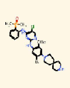 CCc1cc(Nc2ncc(Cl)c(Nc3ccccc3P(C)(C)=O)n2)c(OC)cc1N1CCC2(CCNCC2)CC1